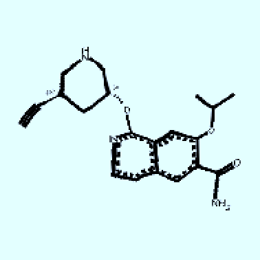 C#C[C@H]1CNC[C@H](Oc2nccc3cc(C(N)=O)c(OC(C)C)cc23)C1